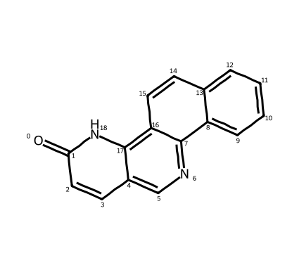 O=c1ccc2cnc3c4ccccc4ccc3c2[nH]1